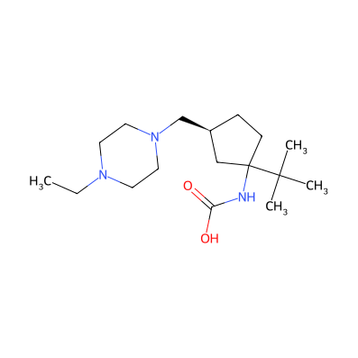 CCN1CCN(C[C@H]2CCC(NC(=O)O)(C(C)(C)C)C2)CC1